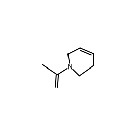 C=C(C)N1CC=CCC1